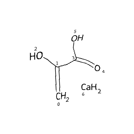 C=C(O)C(=O)O.[CaH2]